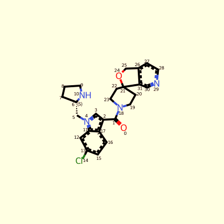 O=C(c1cn(C[C@@H]2CCCN2)c2cc(Cl)ccc12)N1CCC2(CC1)OCc1ccncc12